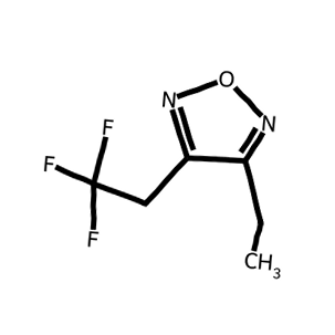 CCc1nonc1CC(F)(F)F